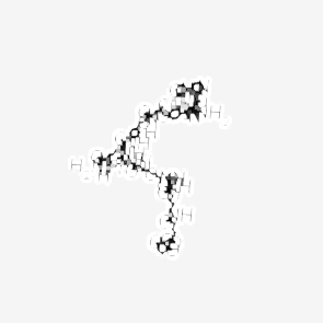 CC(CNC(=O)OCc1ccc(NC(=O)[C@@H](CCCNC(N)=O)NC(=O)[C@H](NC(=O)OCCOCCNS(=O)(=O)NC(=O)OCCCNC(=O)CCCC(=O)ON2C(=O)CCC2=O)C(C)C)cc1)Oc1ccc(-c2cnc(N)c(C(=O)Nc3cnccc3N3CCOCC3)n2)cc1